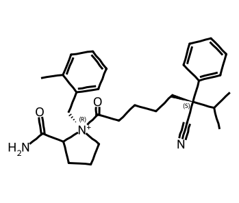 Cc1ccccc1C[N@+]1(C(=O)CCCC[C@@](C#N)(c2ccccc2)C(C)C)CCCC1C(N)=O